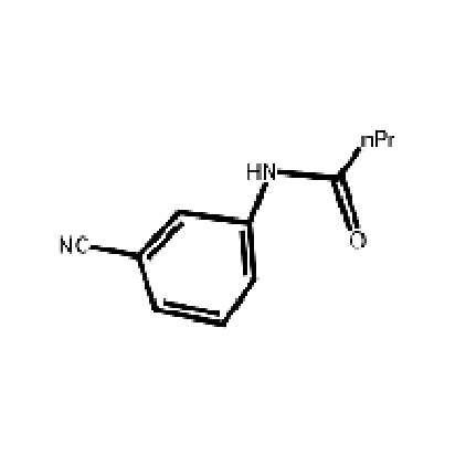 CCCC(=O)Nc1cccc(C#N)c1